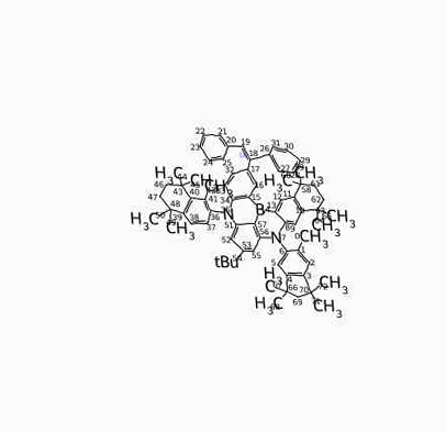 Cc1cc2c(cc1N1c3cc4c(cc3B3c5cc(/C(=C\c6ccccc6)c6ccccc6)ccc5N(c5ccc6c(c5C)C(C)(C)CCC6(C)C)c5cc(C(C)(C)C)cc1c53)C(C)(C)CCC4(C)C)C(C)(C)CC2(C)C